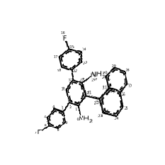 Nc1c(-c2ccc(F)cc2)cc(-c2ccc(F)cc2)c(N)c1-c1cccc2ccccc12